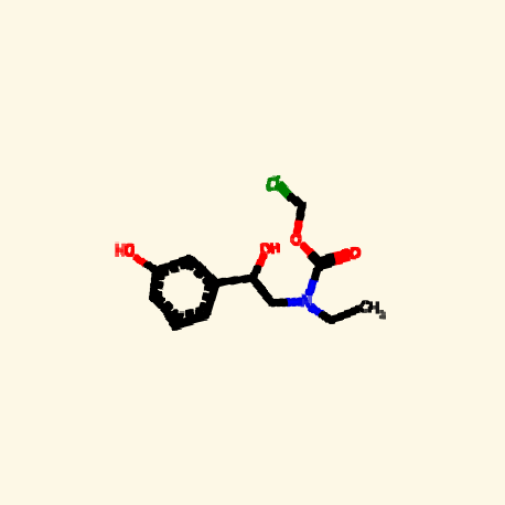 CCN(CC(O)c1cccc(O)c1)C(=O)OCCl